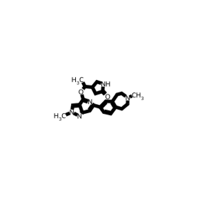 CC(Oc1nc(-c2ccc3c(c2)CCN(C)CC3)cc2nn(C)cc12)C1CNC(=O)C1